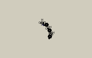 Cc1ccc(S(=O)(=O)Nc2ccc(C(=O)Nc3cccc(/C=C4/SC(=O)NC4=O)c3)cc2)cc1